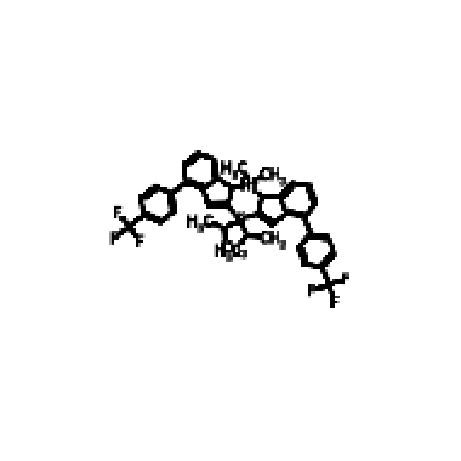 CC(C)[Si]1(C(C)C)C2=Cc3c(-c4ccc(C(F)(F)F)cc4)cccc3[CH]2[Hf]([CH3])([CH3])[CH]2C1=Cc1c(-c3ccc(C(F)(F)F)cc3)cccc12